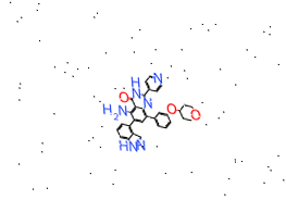 Nc1c(-c2cccc3[nH]ncc23)cc(-c2cccc(OC3CCOCC3)c2)c2nc(-c3ccncc3)[nH]c(=O)c12